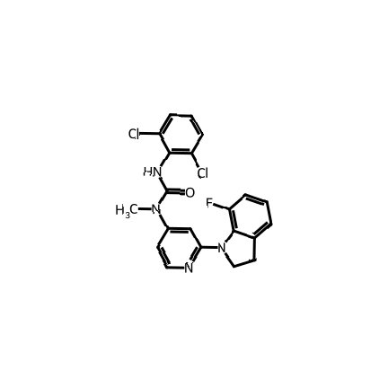 CN(C(=O)Nc1c(Cl)cccc1Cl)c1ccnc(N2CCc3cccc(F)c32)c1